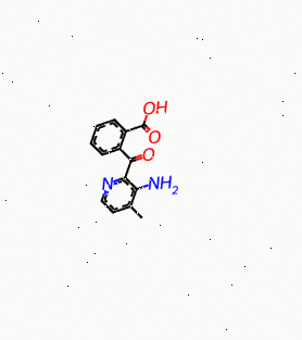 Cc1ccnc(C(=O)c2ccccc2C(=O)O)c1N